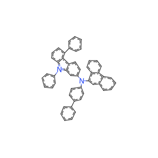 c1ccc(-c2ccc(N(c3ccc4c5c(-c6ccccc6)cccc5n(-c5ccccc5)c4c3)c3cc4ccccc4c4ccccc34)cc2)cc1